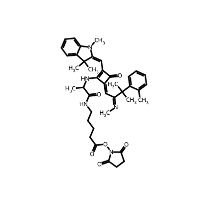 C/N=C(\C=C1/C(=O)C(/C=C2/N(C)c3ccccc3C2(C)C)=C1NC(C)C(=O)NCCCCC(=O)ON1C(=O)CCC1=O)C(C)(C)c1ccccc1C